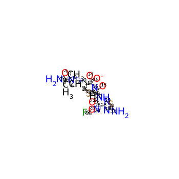 C[C@H](C(N)=O)[N+](C)(C)C/C=C/C1=C(C(=O)[O-])N2C(=O)[C@@H](NC(=O)/C(=N\OCF)c3nsc(N)n3)[C@@H]2SC1